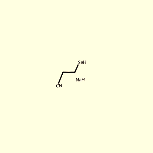 N#CCC[SeH].[NaH]